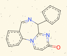 O=c1ccn2c(n1)C(c1ccccc1)N=Cc1ccccc1-2